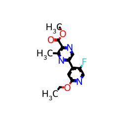 CCOc1cc(-c2cnc(C(=O)OC)c(C)n2)c(F)cn1